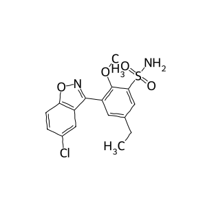 CCc1cc(-c2noc3ccc(Cl)cc23)c(OC)c(S(N)(=O)=O)c1